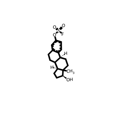 CC12CC[C@@H]3c4ccc(OS(=O)(=O)F)cc4CCC3[C@@H]1CC[C@@H]2O